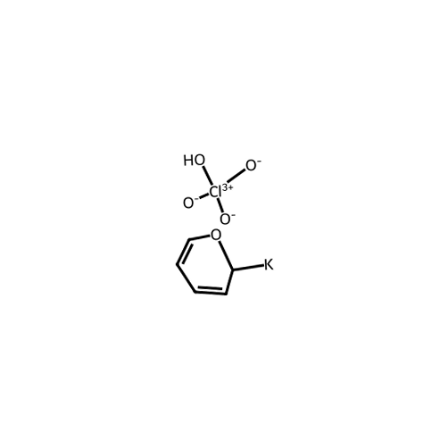 [K][CH]1C=CC=CO1.[O-][Cl+3]([O-])([O-])O